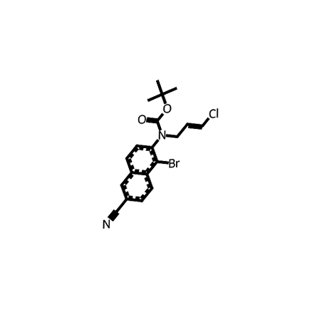 CC(C)(C)OC(=O)N(CC=CCl)c1ccc2cc(C#N)ccc2c1Br